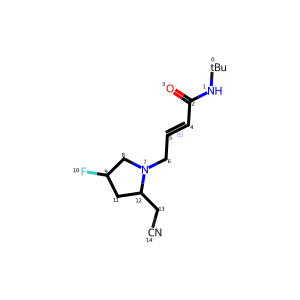 CC(C)(C)NC(=O)/C=C/CN1CC(F)CC1CC#N